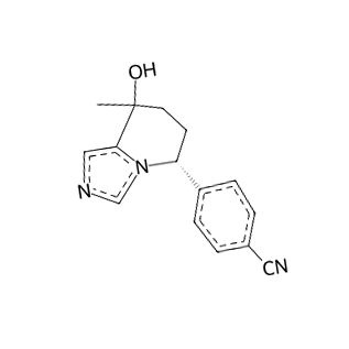 CC1(O)CC[C@H](c2ccc(C#N)cc2)n2cncc21